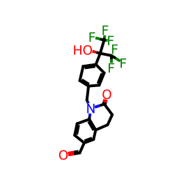 O=Cc1ccc2c(c1)CCC(=O)N2Cc1ccc(C(O)(C(F)(F)F)C(F)(F)F)cc1